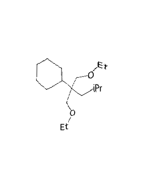 CCOCC(COCC)(CC(C)C)C1CCCCC1